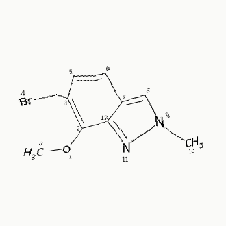 COc1c(Br)ccc2cn(C)nc12